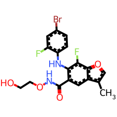 Cc1coc2c(F)c(Nc3ccc(Br)cc3F)c(C(=O)NOCCO)cc12